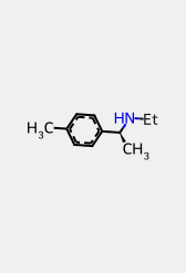 CCN[C@@H](C)c1ccc(C)cc1